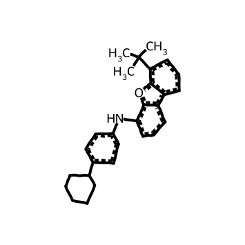 CC(C)(C)c1cccc2c1oc1c(Nc3ccc(C4CCCCC4)cc3)cccc12